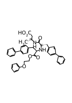 C[C@H](CC(=O)O)NC(=O)[C@H](Cc1ccc(-c2ccccc2)cc1)NC(Cc1ccc(-c2ccccc2)cc1)C(=O)OCCOc1ccccc1